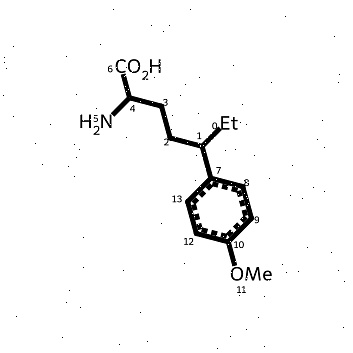 CCC(CCC(N)C(=O)O)c1ccc(OC)cc1